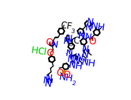 C1CNCCN1.Cc1ccc(Nc2nccc(N(C)c3ccc4c(C)n(C)nc4c3)n2)cc1S(N)(=O)=O.Cc1cn(-c2cc(NC(=O)c3ccc(C)c(Nc4nccc(-c5cccnc5)n4)c3)cc(C(F)(F)F)c2)cn1.Cl.FC(F)(F)c1ccc(/C=C/c2nc(COc3ccc(CCCCn4ccnn4)cc3)co2)cc1